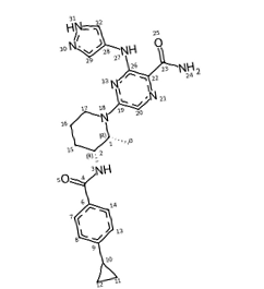 C[C@@H]1[C@H](NC(=O)c2ccc(C3CC3)cc2)CCCN1c1cnc(C(N)=O)c(Nc2cn[nH]c2)n1